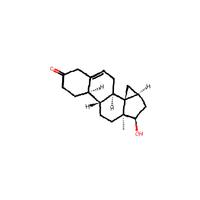 C[C@]12CC[C@H]3[C@@H](CC=C4CC(=O)CC[C@@H]43)[C@@]13C[C@H]3C[C@H]2O